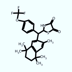 Cc1cc2c(cc1C(c1ccc(OC(F)(F)F)cc1)C1NC(=O)C(=O)S1)C(C)(C)CCC2(C)C